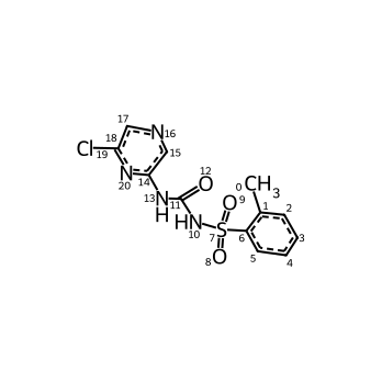 Cc1ccccc1S(=O)(=O)NC(=O)Nc1cncc(Cl)n1